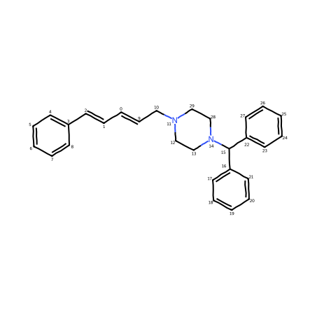 C(/C=C/c1ccccc1)=C\CN1CCN(C(c2ccccc2)c2ccccc2)CC1